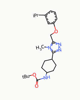 CC(C)c1cccc(OCc2nnc(C3CCC(NC(=O)OC(C)(C)C)CC3)n2C)c1